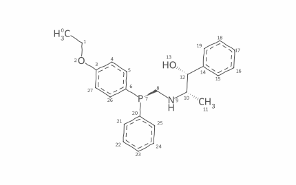 CCOc1ccc([P@@](CN[C@@H](C)[C@H](O)c2ccccc2)c2ccccc2)cc1